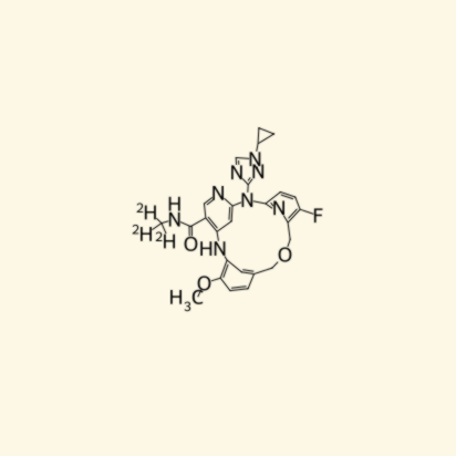 [2H]C([2H])([2H])NC(=O)c1cnc2cc1Nc1cc(ccc1OC)COCc1nc(ccc1F)N2c1ncn(C2CC2)n1